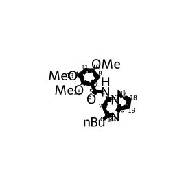 CCCCc1cc(NC(=O)c2cc(OC)cc(OC)c2OC)n2nccc2n1